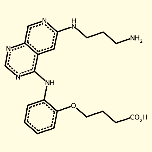 NCCCNc1cc2c(Nc3ccccc3OCCCC(=O)O)ncnc2cn1